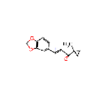 CC1(C(=O)/C=C/c2ccc3c(c2)OCO3)CC1